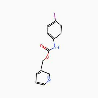 O=C(Nc1ccc(I)cc1)OCc1cccnc1